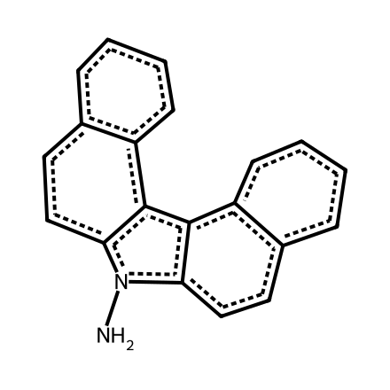 Nn1c2ccc3ccccc3c2c2c3ccccc3ccc21